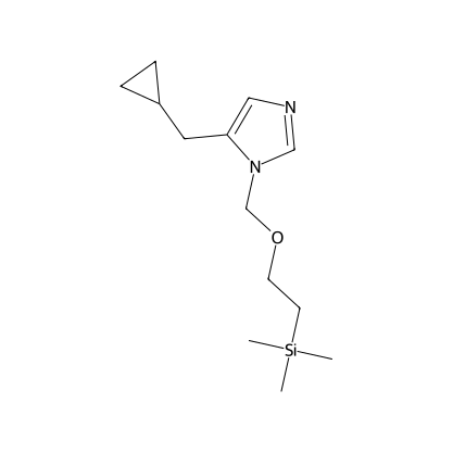 C[Si](C)(C)CCOCn1cncc1CC1CC1